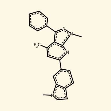 Cn1ccc2ccc(-c3cc(C(F)(F)F)c4c(-c5ccccc5)nn(C)c4n3)cc21